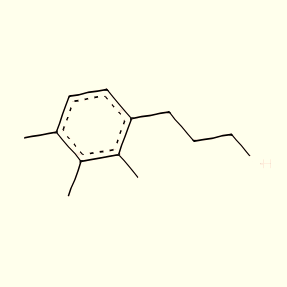 Cc1c(F)ccc(CCCO)c1F